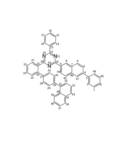 c1ccc(-c2ccc3cc(-c4nc(-c5ccccc5)nc(-c5ccccc5-c5ccc(-c6cccc7ccccc67)cc5)n4)ccc3c2)cc1